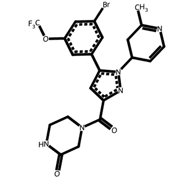 CC1=NC=CC(n2nc(C(=O)N3CCNC(=O)C3)cc2-c2cc(Br)cc(OC(F)(F)F)c2)C1